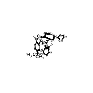 Cc1ccc(C(C)(C)C)cc1-c1n(-c2ccccc2)c2cc(-c3ccccc3)ccc2[n+]1C